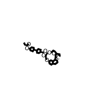 C=CC(=O)Oc1ccc(-c2ccc(C(=O)OC3COc4ccc5cccc(c5c4)-c4cccc5ccc(cc45)OC3)cc2)cc1